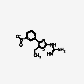 CCc1sc(NC(=N)N)nc1-c1cccc([N+](=O)[O-])c1